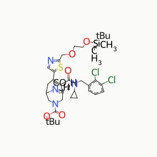 CC(C)(C)OC(=O)N1CC2CC(c3cnc(COCCO[Si](C)(C)C(C)(C)C)s3)=C(C(=O)N(Cc3cccc(Cl)c3Cl)C3CC3)[C@@H](C1)N2C(=O)O